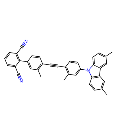 Cc1ccc2c(c1)c1cc(C)ccc1n2-c1ccc(C#Cc2ccc(-c3c(C#N)cccc3C#N)cc2C)c(C)c1